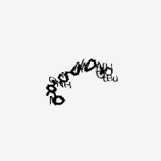 Cc1ccc(C(=O)NC2CCN(Cc3ccc(N4CCC(NC(=O)OC(C)(C)C)CC4)nc3)CC2)cc1C1=NCCC=C1